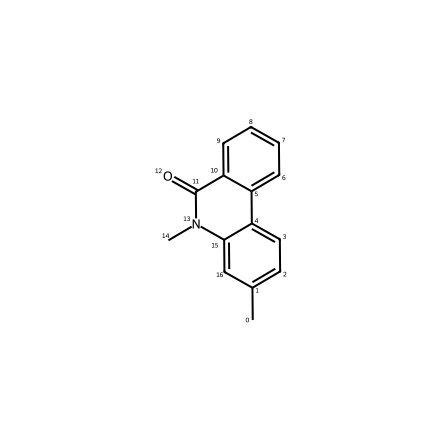 Cc1ccc2c3ccccc3c(=O)n(C)c2c1